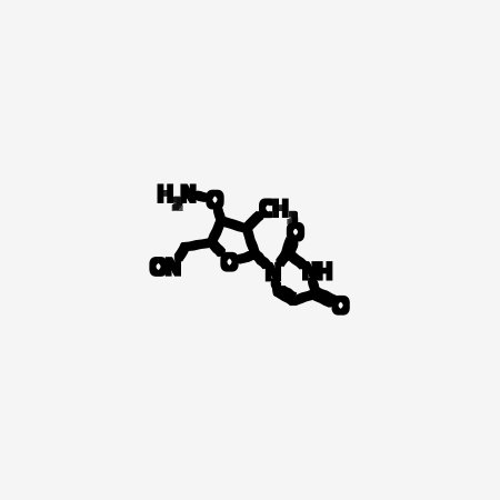 CC1C(ON)C(CN=O)OC1n1ccc(=O)[nH]c1=O